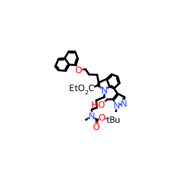 CCOC(=O)c1c(CCCOc2cccc3ccccc23)c2cccc(-c3cnn(C)c3CO)c2n1CCCCN(C)C(=O)OC(C)(C)C